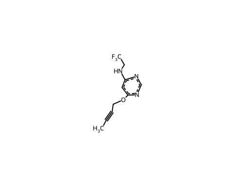 CC#CCOc1cc(NCC(F)(F)F)ncn1